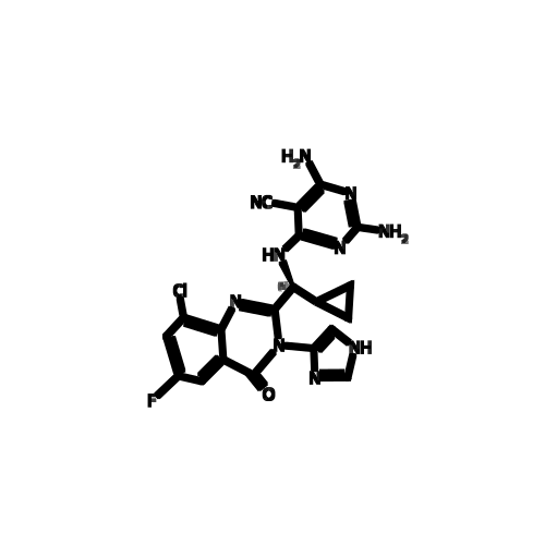 N#Cc1c(N)nc(N)nc1N[C@H](c1nc2c(Cl)cc(F)cc2c(=O)n1-c1c[nH]cn1)C1CC1